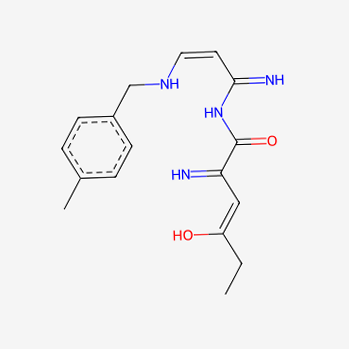 CC/C(O)=C/C(=N)C(=O)NC(=N)/C=C\NCc1ccc(C)cc1